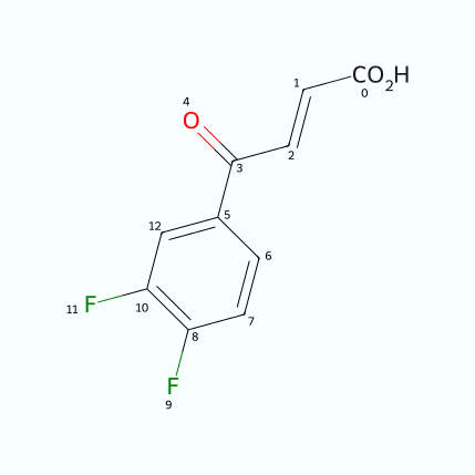 O=C(O)C=CC(=O)c1ccc(F)c(F)c1